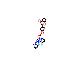 O=c1cc(-c2ccc(OCCOCCN(Cc3ncccc3F)Cc3ncccc3F)cc2)oc2ccccc12